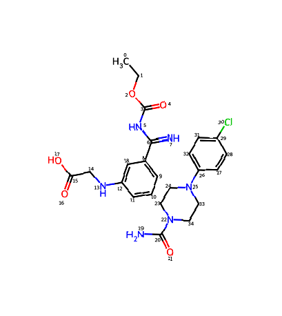 CCOC(=O)NC(=N)c1cccc(NCC(=O)O)c1.NC(=O)N1CCN(c2ccc(Cl)cc2)CC1